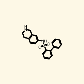 O=S(=O)(Nc1ccc2c(c1)CNCC2)c1ccccc1-c1ccccc1